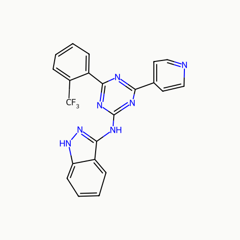 FC(F)(F)c1ccccc1-c1nc(Nc2n[nH]c3ccccc23)nc(-c2ccncc2)n1